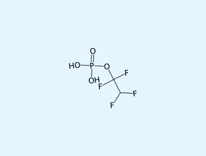 O=P(O)(O)OC(F)(F)C(F)F